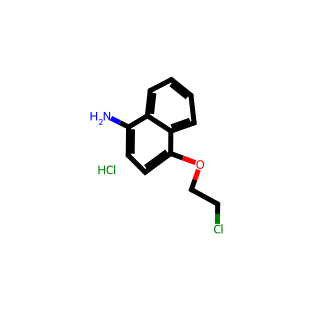 Cl.Nc1ccc(OCCCl)c2ccccc12